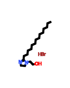 Br.CCCCCCCCCCCCCCC1=NCCN1CCO